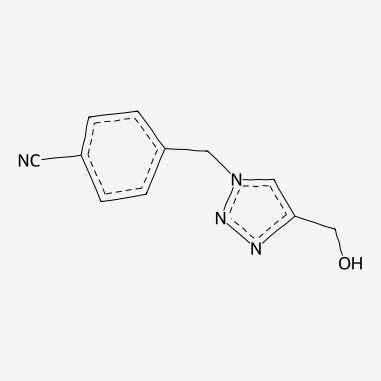 N#Cc1ccc(Cn2cc(CO)nn2)cc1